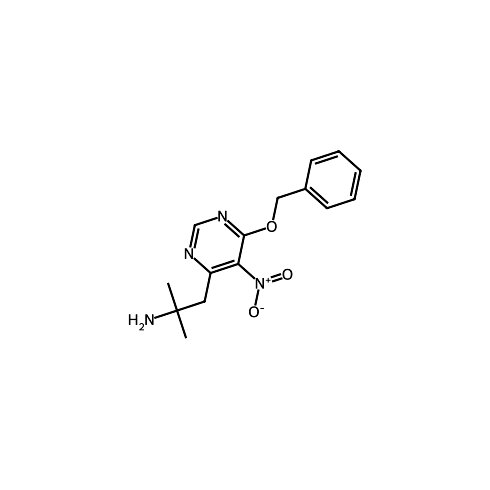 CC(C)(N)Cc1ncnc(OCc2ccccc2)c1[N+](=O)[O-]